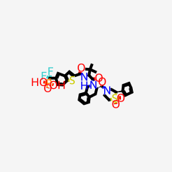 CC(C)(C)[C@H](NC(=O)c1cc2cc(C(F)(F)P(=O)(O)O)ccc2s1)C(=O)N1Cc2ccccc2C[C@H]1C(=O)N1CCS(=O)(=O)[C@H](c2ccccc2)C1